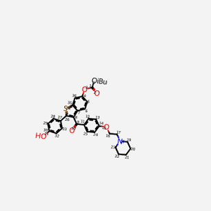 CC(C)COC(=O)Oc1ccc2c(C(=O)c3ccc(OCCN4CCCCC4)cc3)c(-c3ccc(O)cc3)sc2c1